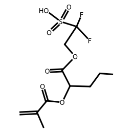 C=C(C)C(=O)OC(CCC)C(=O)OCC(F)(F)S(=O)(=O)O